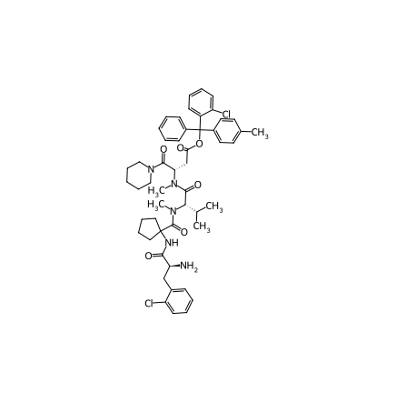 Cc1ccc(C(OC(=O)C[C@@H](C(=O)N2CCCCC2)N(C)C(=O)[C@H](C(C)C)N(C)C(=O)C2(NC(=O)[C@@H](N)Cc3ccccc3Cl)CCCC2)(c2ccccc2)c2ccccc2Cl)cc1